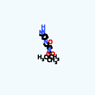 CC(C)(C)OC(=O)N1CC[C@]2(CCN(c3ccc4[nH]ncc4c3)C2=O)C1